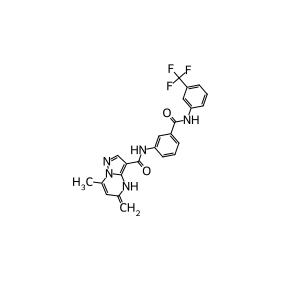 C=C1C=C(C)n2ncc(C(=O)Nc3cccc(C(=O)Nc4cccc(C(F)(F)F)c4)c3)c2N1